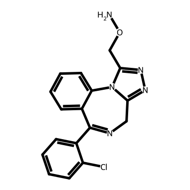 NOCc1nnc2n1-c1ccccc1C(c1ccccc1Cl)=NC2